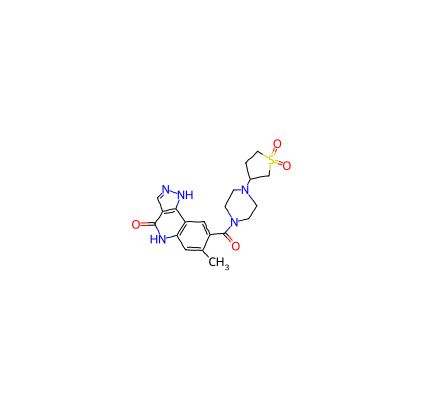 Cc1cc2[nH]c(=O)c3cn[nH]c3c2cc1C(=O)N1CCN(C2CCS(=O)(=O)C2)CC1